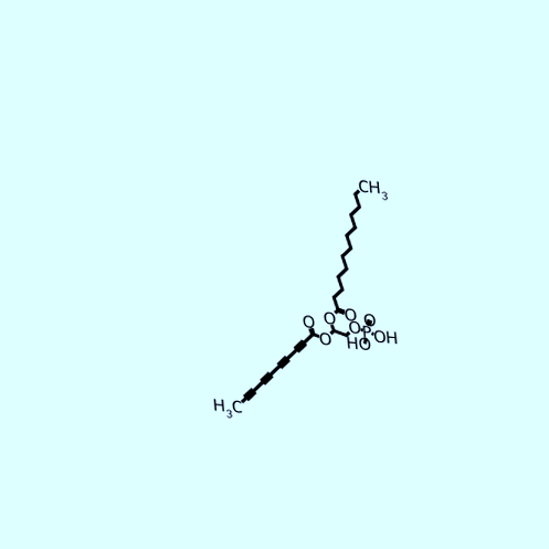 CC#CC#CC#CC#CC(=O)OC(COP(=O)(O)O)OC(=O)CCCCCCCCCCCC